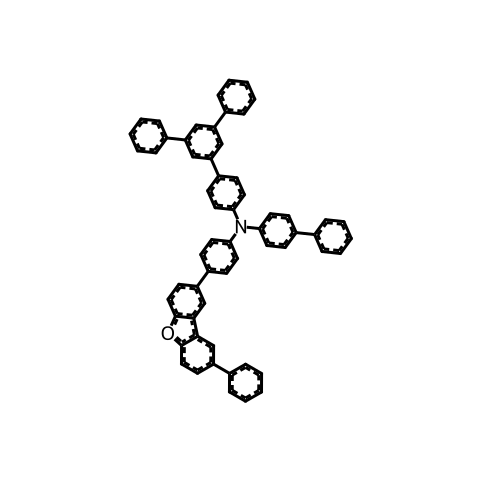 c1ccc(-c2ccc(N(c3ccc(-c4cc(-c5ccccc5)cc(-c5ccccc5)c4)cc3)c3ccc(-c4ccc5oc6ccc(-c7ccccc7)cc6c5c4)cc3)cc2)cc1